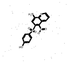 Nc1cc(S(=O)(=O)c2ccc(O)cc2)c([N+](=O)[O-])c2cccnc12